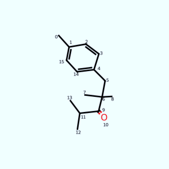 Cc1ccc(CC(C)(C)C(=O)C(C)C)cc1